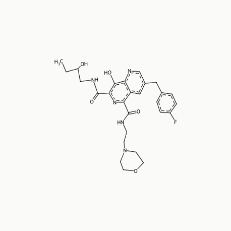 CCC(O)CNC(=O)c1nc(C(=O)NCCN2CCOCC2)c2cc(Cc3ccc(F)cc3)cnc2c1O